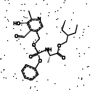 CCC(CC)COC(=O)[C@H](C)NP(=O)(OCc1cnc(C)c(O)c1C=O)Oc1ccccc1